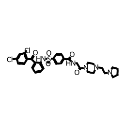 O=C(NCC(=O)N1CCN(CCN2CCCC2)CC1)c1ccc(S(=O)(=O)Nc2ccccc2C(=O)c2ccc(Cl)cc2Cl)cc1